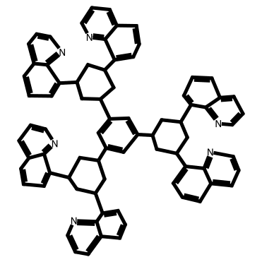 c1cnc2c(C3CC(c4cc(C5CC(c6cccc7cccnc67)CC(c6cccc7cccnc67)C5)cc(C5CC(c6cccc7cccnc67)CC(c6cccc7cccnc67)C5)c4)CC(c4cccc5cccnc45)C3)cccc2c1